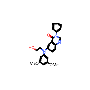 COc1cc(OC)cc(N(CCO)c2ccc3ncn(-c4ccccc4)c(=O)c3c2)c1